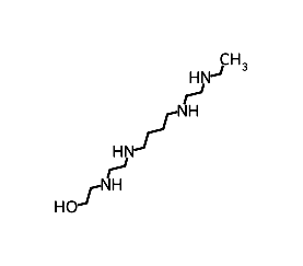 CCNCCNCCCCNCCNCCO